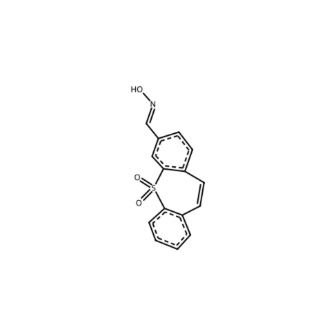 O=S1(=O)c2ccccc2C=Cc2ccc(C=NO)cc21